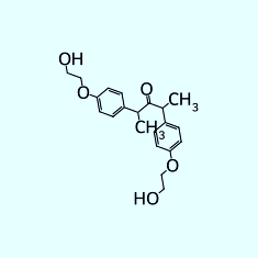 CC(C(=O)C(C)c1ccc(OCCO)cc1)c1ccc(OCCO)cc1